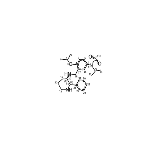 CC(C)Oc1ccc(N(C(C)C)S(C)(=O)=O)cc1CN[C@@H]1CCCN[C@@H]1c1ccccc1